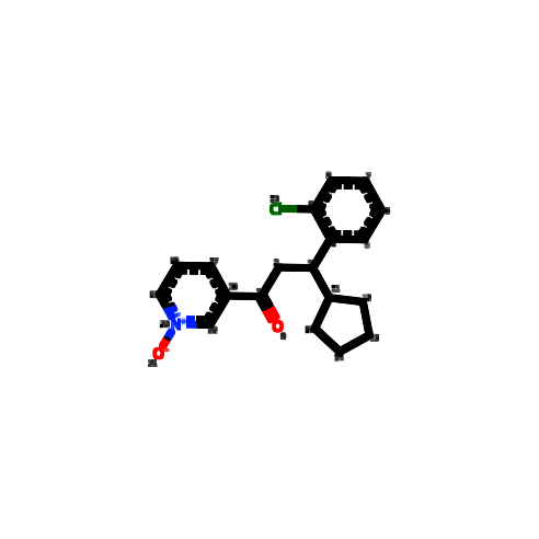 O=C(CC(c1ccccc1Cl)C1CCCC1)c1ccc[n+]([O-])c1